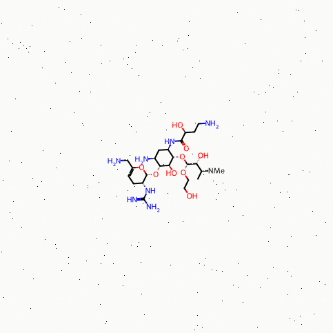 CN[C@@H](C)[C@@H](O)[C@H](OCCO)O[C@@H]1[C@@H](O)[C@H](O[C@H]2OC(CN)=CC[C@H]2NC(=N)N)[C@@H](N)C[C@H]1NC(=O)[C@@H](O)CCN